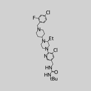 CC[C@H]1CN(c2ncc(CNC(=O)NC(C)(C)C)cc2Cl)CCN1C1CCN(Cc2ccc(Cl)cc2F)CC1